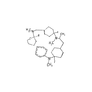 CC(CC1CCC(I)(N(C)c2ccccc2)CC1)N(C)C1(I)CCC(CN(C)C2(I)CCCCC2)CC1